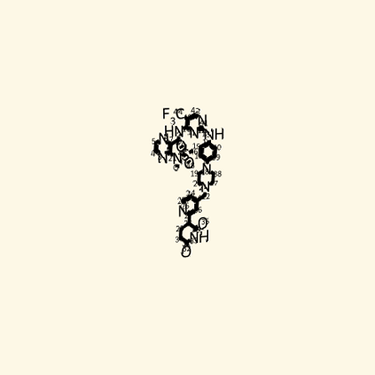 CN(c1nccnc1CNc1nc(Nc2ccc(N3CCN(Cc4ccnc(C5CCC(=O)NC5=O)c4)CC3)cc2)ncc1C(F)(F)F)S(C)(=O)=O